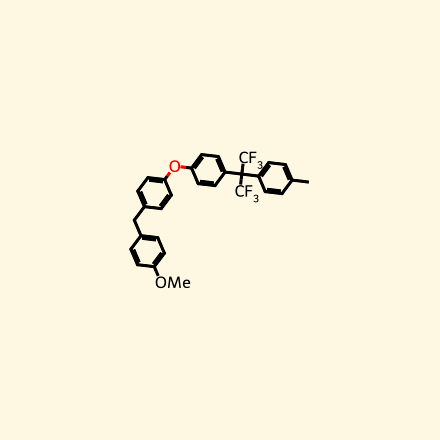 COc1ccc(Cc2ccc(Oc3ccc(C(c4ccc(C)cc4)(C(F)(F)F)C(F)(F)F)cc3)cc2)cc1